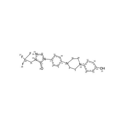 O=c1n(-c2ccc(N3CCN(c4ccc(O)cc4)CC3)cc2)cnn1CC(F)(F)F